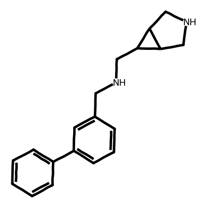 c1ccc(-c2cccc(CNCC3C4CNCC34)c2)cc1